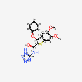 COc1cc2sc(C(=O)Nc3nnn[nH]3)c(Oc3ccccc3)c2cc1OC